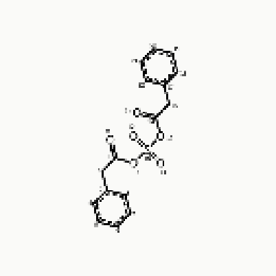 O=C(Cc1ccccc1)OS(=O)(=O)OC(=O)Cc1ccccc1